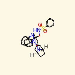 Cc1nc2ccccc2n1[C@H]1C[C@H]2CC[C@@H](C1)N2CCC(C)(CNS(=O)(=O)c1ccccc1)c1ccccc1